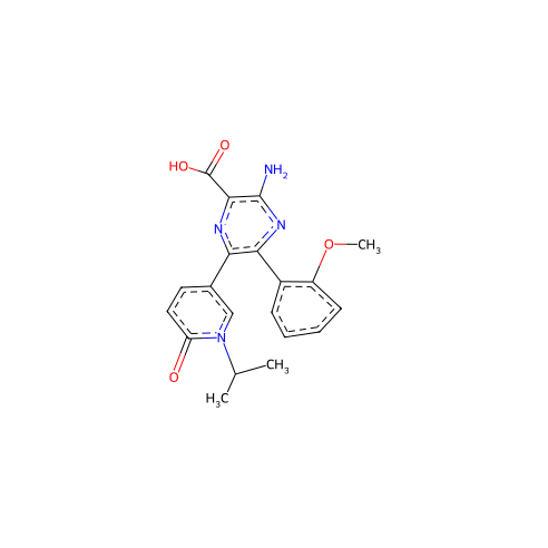 COc1ccccc1-c1nc(N)c(C(=O)O)nc1-c1ccc(=O)n(C(C)C)c1